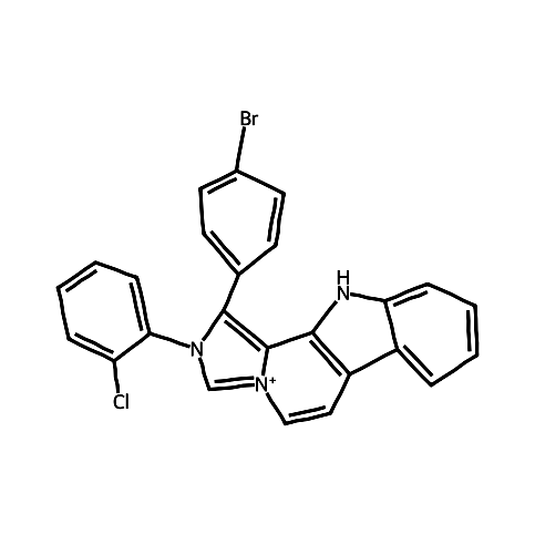 Clc1ccccc1-n1c[n+]2ccc3c4ccccc4[nH]c3c2c1-c1ccc(Br)cc1